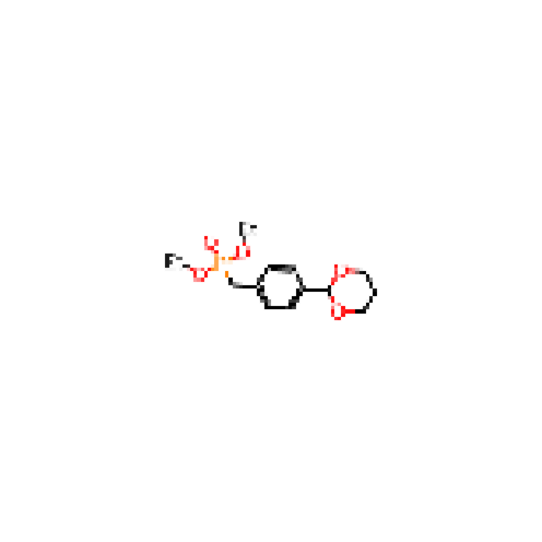 CCOP(=O)(Cc1ccc(C2OCCCO2)cc1)OCC